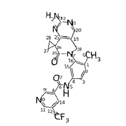 Cc1ccc(NC(=O)c2cncc(C(F)(F)F)c2)cc1N1Cc2cnc(N)nc2C2(CC2)C1=O